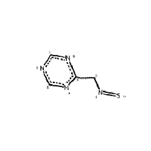 S=NCc1ncncn1